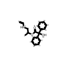 C=CNCC(C)OC(=O)C(O)(c1ccccc1)c1ccccc1